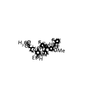 CCOc1cc(N2CCC(CCS(C)(=O)=O)CC2)c(C)cc1Nc1nccc(-c2c(-c3ccc(OC)c(C(=O)Nc4c(F)cccc4F)c3)nc3cc(F)ccn23)n1